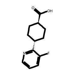 O=C(O)[C@H]1CC[C@H](c2ncccc2F)CC1